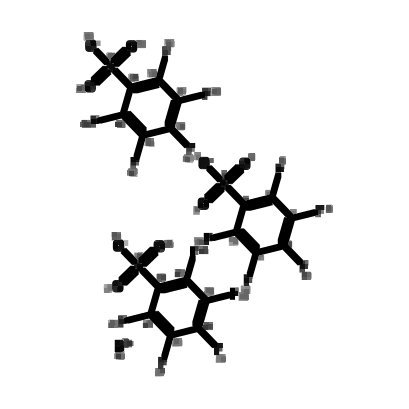 O=S(=O)([O-])c1c(F)c(F)c(F)c(F)c1F.O=S(=O)([O-])c1c(F)c(F)c(F)c(F)c1F.O=S(=O)([O-])c1c(F)c(F)c(F)c(F)c1F.[B+3]